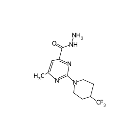 Cc1cc(C(=O)NN)nc(N2CCC(C(F)(F)F)CC2)n1